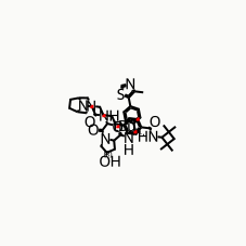 Cc1ncsc1-c1ccc([C@H](C)NC(=O)C2C[C@@H](O)CN2C(=O)C(NC(=O)CN2C3CCC2CN(CCCCc2ccc(C(=O)NC4C(C)(C)CC4(C)C)cc2)C3)C(C)(C)C)cc1